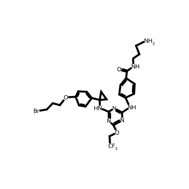 NCCCNC(=O)c1ccc(Nc2nc(NC3(c4ccc(OCCCBr)cc4)CC3)nc(OCC(F)(F)F)n2)cc1